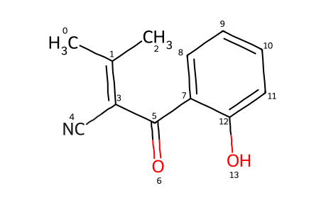 CC(C)=C(C#N)C(=O)c1ccccc1O